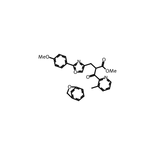 COC(=O)C(Cc1coc(-c2ccc(OC)cc2)n1)C(=O)c1ncccc1C.c1cc2cc(c1)OC2